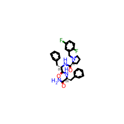 NC(=O)[C@H](Cc1ccccc1)NC(=O)[C@H](Cc1ccccc1)NC(=O)[C@@H]1CCCN1Cc1cc(F)ccc1F